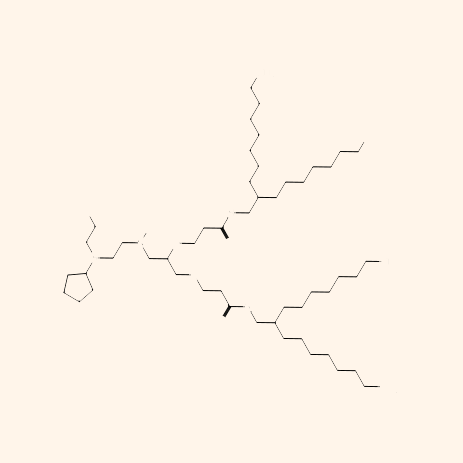 CCCCCCCCC(CCCCCCCC)CNC(=O)CCOCC(CN(C)CCN(CCO)C1CCCC1)OCCC(=O)NCC(CCCCCCCC)CCCCCCCC